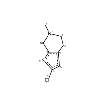 CN1CCc2cc(Cl)sc2C1